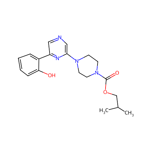 CC(C)COC(=O)N1CCN(c2cncc(-c3ccccc3O)n2)CC1